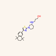 CC1(C)CCC(C)(C)c2cc(-c3csc(N4CCCC(NCCCO)C4)n3)ccc21